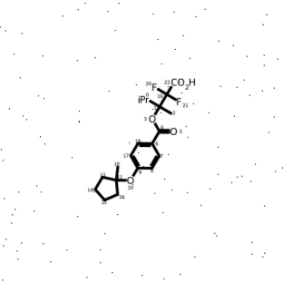 CC(C)C(C)(OC(=O)c1ccc(OC2(C)CCCC2)cc1)C(F)(F)C(=O)O